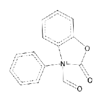 O=C[N+]1(c2ccccc2)C(=O)Oc2ccccc21